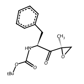 CC(C)(C)OC(=O)N[C@@H](Cc1ccccc1)C(=O)[C@@]1(C)CO1